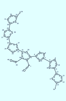 O=Pc1c(-c2ccc(-c3ccc(-c4ccc(I)s4)s3)s2)sc(-c2ccc(-c3ccc(-c4ccc(I)s4)s3)s2)c1P=O